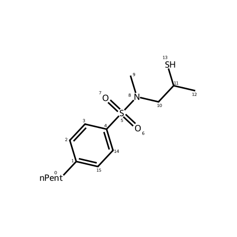 CCCCCc1ccc(S(=O)(=O)N(C)CC(C)S)cc1